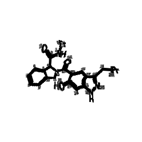 CCNC(=O)C1c2ccccc2CN1C(=O)c1cc2c(CC(C)C)n[nH]c2cc1O